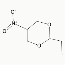 CCC1OCC([N+](=O)[O-])CO1